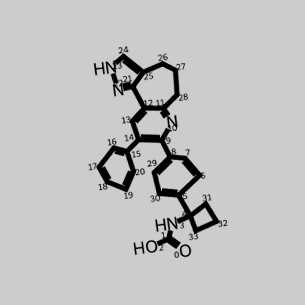 O=C(O)NC1(c2ccc(-c3nc4c(cc3-c3ccccc3)-c3n[nH]cc3CCC4)cc2)CCC1